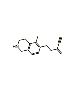 C#CC(=C)CCc1ccc2c(c1C)CCNC2